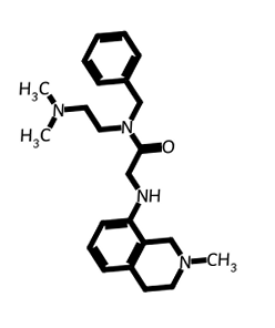 CN(C)CCN(Cc1ccccc1)C(=O)CNc1cccc2c1CN(C)CC2